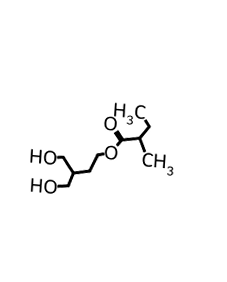 CCC(C)C(=O)OCCC(CO)CO